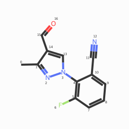 Cc1nn(-c2c(F)cccc2C#N)cc1C=O